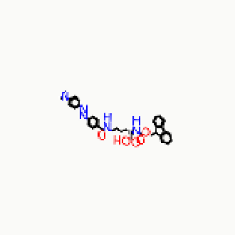 CN(C)c1ccc(N=Nc2ccc(C(=O)NCCCC[C@H](NC(=O)OCC3c4ccccc4-c4ccccc43)C(=O)O)cc2)cc1